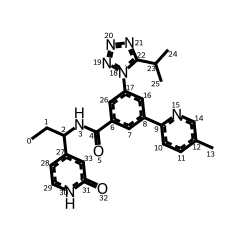 CCC(NC(=O)c1cc(-c2ccc(C)cn2)cc(-n2nnnc2C(C)C)c1)c1cc[nH]c(=O)c1